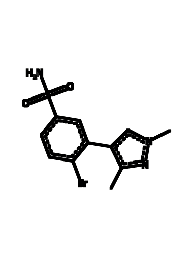 Cc1nn(C)cc1-c1cc(S(N)(=O)=O)ccc1Br